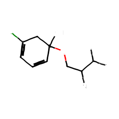 CCC(CC)C(COC1(C)C=CC=C(Cl)C1)N=O